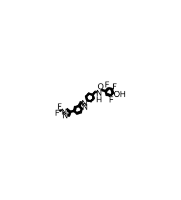 O=C(NCC1CCC(n2cc3cc(-c4cnn(C(F)F)c4)ccc3n2)CC1)c1cc(F)c(O)c(F)c1F